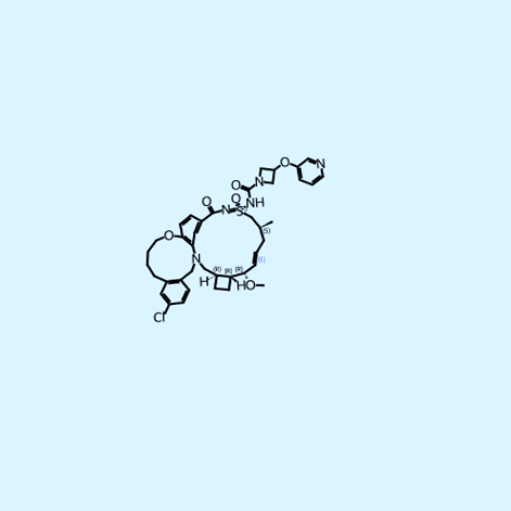 CO[C@H]1/C=C/C[C@H](C)C[S@@](=O)(NC(=O)N2CC(Oc3cccnc3)C2)=NC(=O)c2ccc3c(c2)N(Cc2ccc(Cl)cc2CCCCO3)C[C@@H]2CC[C@H]21